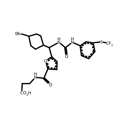 CC(C)(C)C1CCC(C(NC(=O)Nc2cccc(SC(F)(F)F)c2)c2ccc(C(=O)NCCC(=O)O)o2)CC1